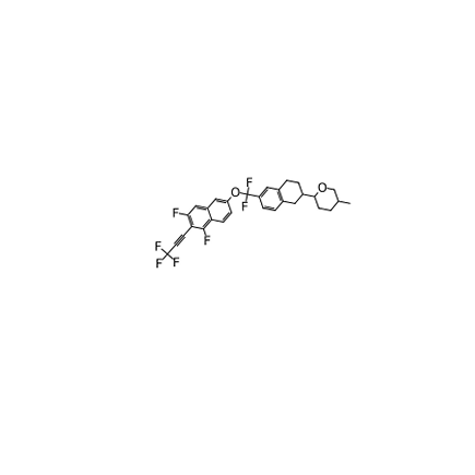 CC1CCC(C2CCc3cc(C(F)(F)Oc4ccc5c(F)c(C#CC(F)(F)F)c(F)cc5c4)ccc3C2)OC1